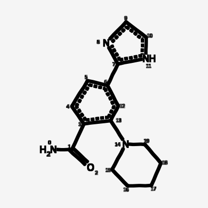 NC(=O)c1ccc(-c2ncc[nH]2)cc1N1CCCCC1